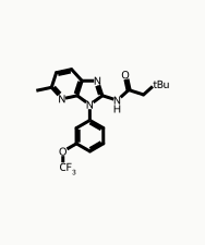 Cc1ccc2nc(NC(=O)CC(C)(C)C)n(-c3cccc(OC(F)(F)F)c3)c2n1